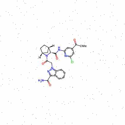 COC(=O)c1cc(Cl)nc(NC(=O)[C@@H]2[C@H]3CC[C@H](C3)N2C(=O)Cn2nc(C(N)=O)c3ccccc32)c1